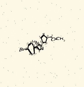 COC[C@@H]1CC[C@H](c2ncc(-c3ccc(Br)cc3)[nH]2)C1